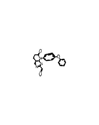 O=Cc1ncc2c(n1)N(c1ccc(Oc3ccccc3)cc1)C(=O)CC2